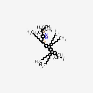 CCCCCCCCc1cc(-c2ccc3c(c2)C(CCCCCCCC)(CCCCCCCC)c2cc4c(cc2-3)C(CCCCCCCC)(CCCCCCCC)c2cc(C(C)(C)C)ccc2-4)sc1-c1ccc(-c2sc(C(C)(C)C)cc2C)c2nsnc12